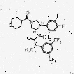 CN(C(=O)N(C)[C@@H]1CN(C(=O)C2CCOCC2)C[C@H]1c1ccc(F)c(F)c1)c1cc(C(F)(F)F)cc(C(F)(F)F)c1